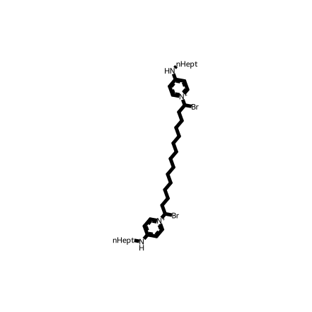 CCCCCCCNc1cc[n+](C(Br)CCCCCCCCCCCCCC(Br)[n+]2ccc(NCCCCCCC)cc2)cc1